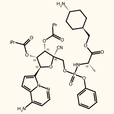 CC(C)C(=O)O[C@H]1[C@H](c2ccc3c(N)ccnn23)O[C@](C#N)(COP(=O)(N[C@@H](C)C(=O)OC[C@H]2CC[C@H](N)CC2)Oc2ccccc2)[C@H]1OC(=O)C(C)C